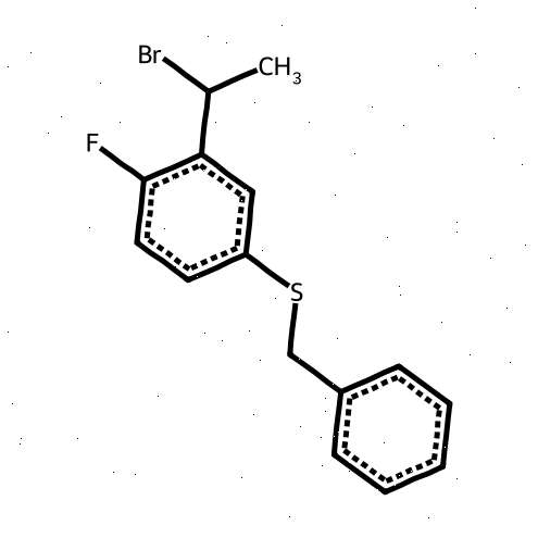 CC(Br)c1cc(SCc2ccccc2)ccc1F